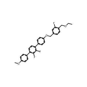 CCOCc1ccc(COc2ccc(-c3ccc(-c4ccc(OC)cc4)c(F)c3F)cc2)cc1F